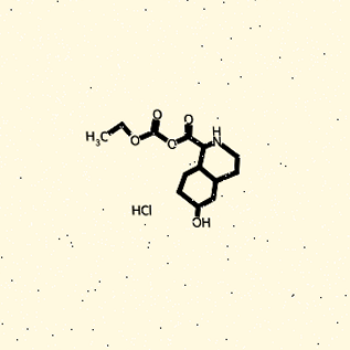 CCOC(=O)OC(=O)C1NCCC2CC(O)CCC21.Cl